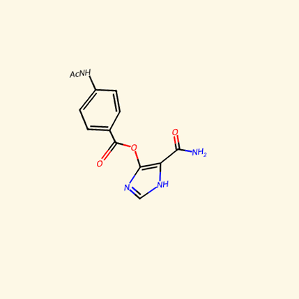 CC(=O)Nc1ccc(C(=O)Oc2nc[nH]c2C(N)=O)cc1